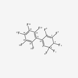 FC1=C(F)C(F)C(F)(F)C=C1c1c(F)c(F)c(F)c(F)c1F